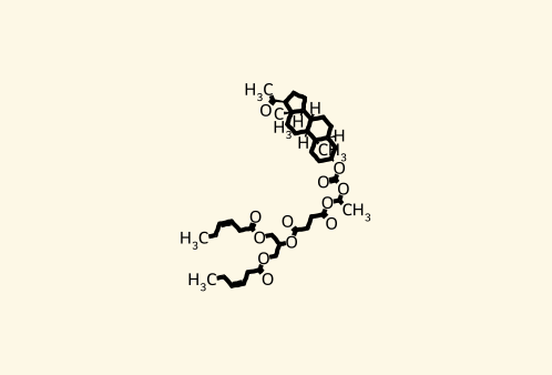 CC/C=C\CC(=O)OCC(COC(=O)C/C=C\CC)OC(=O)CCC(=O)OC(C)OC(=O)O[C@@H]1CC[C@@]2(C)[C@@H](CC[C@@H]3[C@@H]2CC[C@]2(C)[C@@H](C(C)=O)CC[C@@H]32)C1